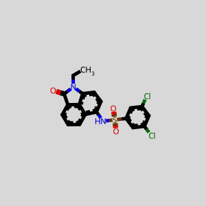 CCN1C(=O)c2cccc3c(NS(=O)(=O)c4cc(Cl)cc(Cl)c4)ccc1c23